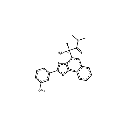 COc1cccc(-c2nc3c4ccccc4nc([C@](C)(N)C(=O)N(C)C)n3n2)c1